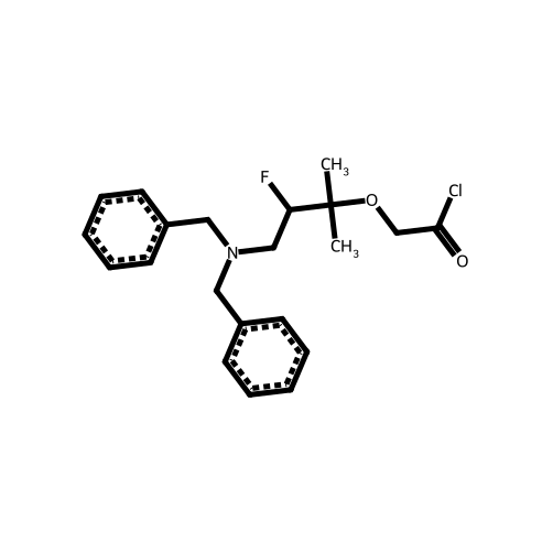 CC(C)(OCC(=O)Cl)C(F)CN(Cc1ccccc1)Cc1ccccc1